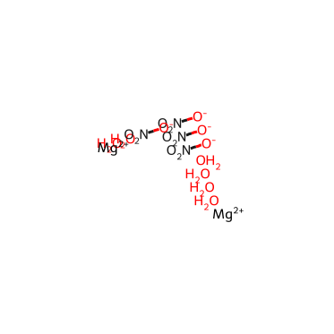 O.O.O.O.O.O.O=[N+]([O-])[O-].O=[N+]([O-])[O-].O=[N+]([O-])[O-].O=[N+]([O-])[O-].[Mg+2].[Mg+2]